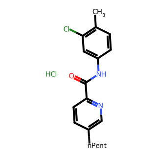 CCCCCc1ccc(C(=O)Nc2ccc(C)c(Cl)c2)nc1.Cl